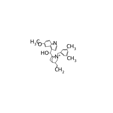 C=CC1C[N+]2(Cc3cc(C)cc(C)c3)CCC1CC2C(O)c1ccnc2ccc(OC)cc12